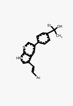 CCC(C)(O)c1ccc(-c2cnc3[nH]cc(/C=C/C(C)=O)c3c2)cc1